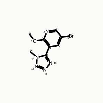 COc1ncc(Br)cc1-c1nnnn1C